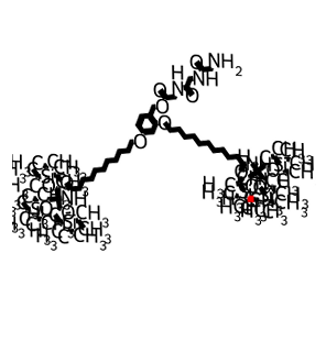 CC(C)[Si](OCC(CO[Si](C(C)C)(C(C)C)C(C)C)(CO[Si](C(C)C)(C(C)C)C(C)C)NC(=O)CCCCCCCCCCOc1ccc(COC(=O)CNC(=O)CNC(=O)CN)c(OCCCCCCCCCCC(=O)NC(CO[Si](C(C)C)(C(C)C)C(C)C)(CO[Si](C(C)C)(C(C)C)C(C)C)CO[Si](C(C)C)(C(C)C)C(C)C)c1)(C(C)C)C(C)C